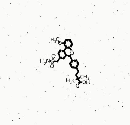 COc1cccc2c1-c1ccc(CS(N)(=O)=O)cc1C(c1ccc(CCC(C)(C)C(=O)O)cc1)O2